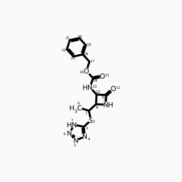 CC(Sc1nnn[nH]1)C1NC(=O)C1NC(=O)OCc1ccccc1